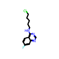 Fc1ccc2c(NCCCCCCl)ncnc2c1